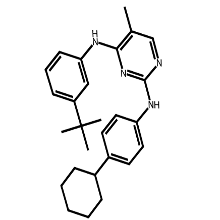 Cc1cnc(Nc2ccc(C3CCCCC3)cc2)nc1Nc1cccc(C(C)(C)C)c1